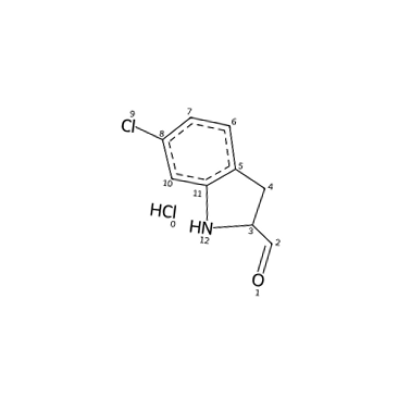 Cl.O=CC1Cc2ccc(Cl)cc2N1